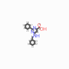 O=C(O)c1cc(NCc2ccccc2)nc(-c2ccccc2)n1